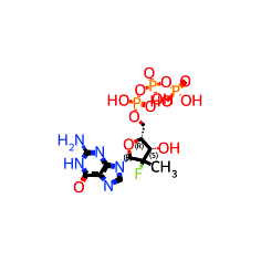 CC1(F)[C@@H](O)[C@@H](COP(=O)(O)OP(=O)(O)OP(=O)(O)O)O[C@H]1n1cnc2c(=O)[nH]c(N)nc21